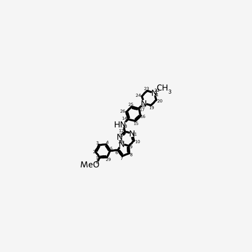 COc1cccc(-c2ccc3cnc(Nc4ccc(N5CCN(C)CC5)cc4)nn23)c1